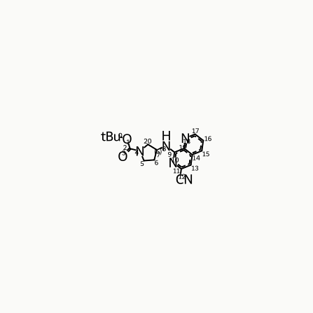 CC(C)(C)OC(=O)N1CC[C@H](Nc2nc(C#N)cc3cccnc23)C1